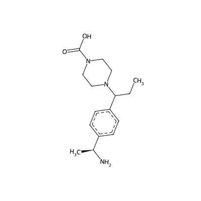 CCC(c1ccc([C@H](C)N)cc1)N1CCN(C(=O)O)CC1